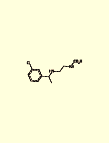 CC(NCCNC(=O)O)c1cccc(Cl)c1